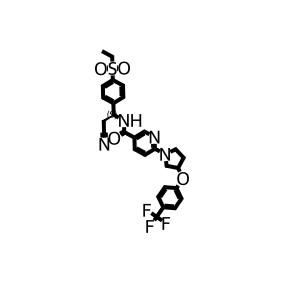 CCS(=O)(=O)c1ccc([C@H](CC#N)NC(=O)c2ccc(N3CCC(Oc4ccc(C(F)(F)F)cc4)C3)nc2)cc1